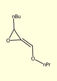 CCCCC1OC1=COCCC